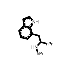 CCCNC(CCC)Cc1cccc2cc[nH]c12